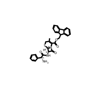 CC1=C(C(=O)OCC2c3ccccc3-c3ccccc32)N2C(=O)[C@@H](NC(=O)[C@H](N)c3ccccc3)[C@H]2SC1